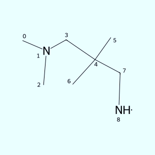 CN(C)CC(C)(C)C[NH]